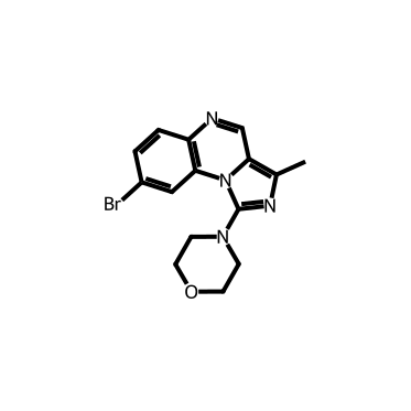 Cc1nc(N2CCOCC2)n2c1cnc1ccc(Br)cc12